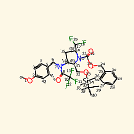 COc1ccc(CN(C(=O)C(F)(F)F)[C@H]2C[C@@H](C(F)F)N(C(=O)OCc3ccccc3)[C@H]2CO[Si](C)(C)C(C)(C)C)cc1